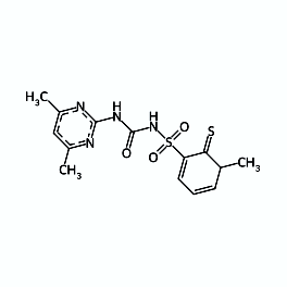 Cc1cc(C)nc(NC(=O)NS(=O)(=O)C2=CC=CC(C)C2=S)n1